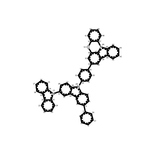 c1ccc(-c2ccc3c(c2)c2cc(-n4c5ccccc5c5ccccc54)ccc2n3-c2ccc(-c3cc4c5c(c3)c3ccccc3n5-c3ccccc3O4)cc2)cc1